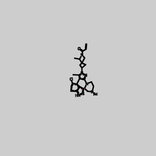 C=CC(=O)N1CC2(CC(n3nc(N4CCN(C(C)=O)CC4)c(-c4c(Cl)ccc5[nH]ncc45)c3C)C2)C1C